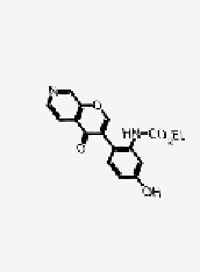 CCOC(=O)Nc1cc(O)ccc1-c1coc2cnccc2c1=O